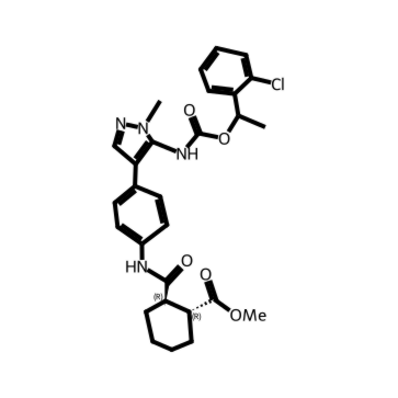 COC(=O)[C@@H]1CCCC[C@H]1C(=O)Nc1ccc(-c2cnn(C)c2NC(=O)OC(C)c2ccccc2Cl)cc1